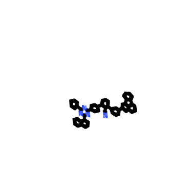 N#Cc1c(-c2ccc(-c3nc(-c4ccccc4)nc(-c4cccc5ccccc45)n3)cc2)cccc1-c1cccc(-c2cc3c4c(cccc4c2)-c2ccccc2-3)c1